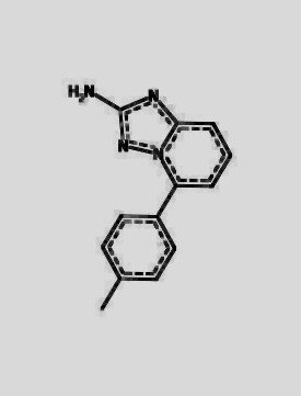 Cc1ccc(-c2cccc3nc(N)nn23)cc1